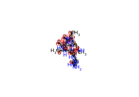 CNC(=O)OCCSSCCNC(=O)[C@H](CCC(C)=O)NC(=O)[C@H](CCC(=O)O)NC(=O)[C@H](CCC(C)=O)NC(=O)[C@H](CCC(=O)O)NC(=O)[C@H](CCC(C)=O)NC(=O)CC[C@H](NC(=O)c1ccc(NCc2cnc3nc(N)[nH]c(=O)c3n2)cc1)C(=O)O